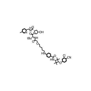 Cc1ccc(CNC(=O)[C@@H]2C[C@@H](O)CN2C(=O)[C@@H](NC(=O)COCCCCCNc2ccc(C(=O)N[C@H]3C(C)(C)[C@H](Oc4ccc(C#N)c(Cl)c4)C3(C)C)cc2)C(C)(C)C)nc1